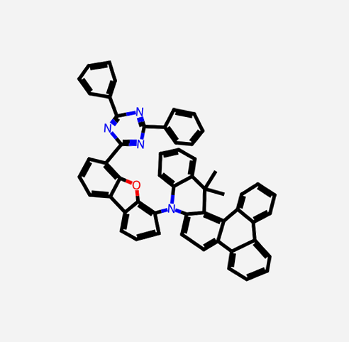 CC1(C)c2ccccc2N(c2cccc3c2oc2c(-c4nc(-c5ccccc5)nc(-c5ccccc5)n4)cccc23)c2ccc3c4ccccc4c4ccccc4c3c21